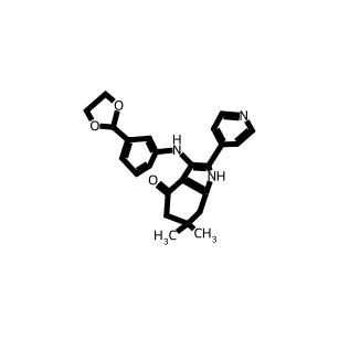 CC1(C)CC(=O)c2c([nH]c(-c3ccncc3)c2Nc2cccc(C3OCCO3)c2)C1